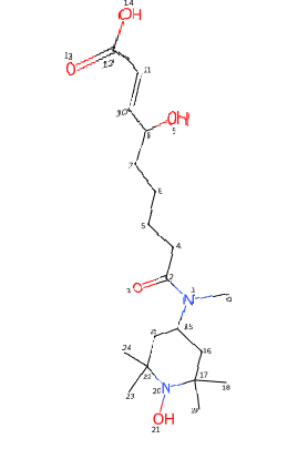 CN(C(=O)CCCCC(O)/C=C/C(=O)O)C1CC(C)(C)N(O)C(C)(C)C1